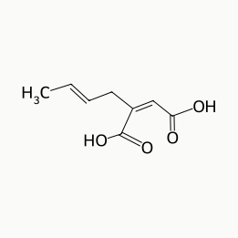 CC=CC/C(=C/C(=O)O)C(=O)O